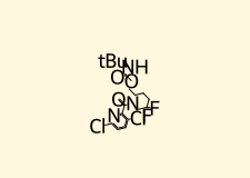 CC(C)(C)NC(=O)OCC1CCC(F)(F)CN1C(=O)c1nc(Cl)ccc1Cl